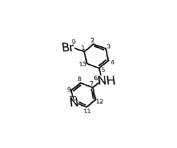 BrC1C=CC=C(Nc2ccncc2)C1